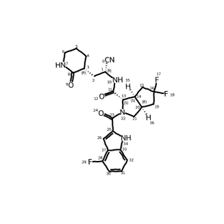 N#C[C@@H](C[C@H]1CCCNC1=O)NC(=O)[C@@H]1[C@H]2CC(F)(F)C[C@H]2CN1C(=O)c1cc2c(F)cccc2[nH]1